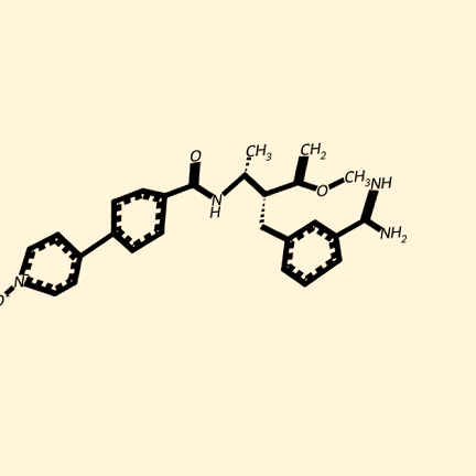 C=C(OC)[C@H](Cc1cccc(C(=N)N)c1)[C@@H](C)NC(=O)c1ccc(-c2cc[n+]([O-])cc2)cc1